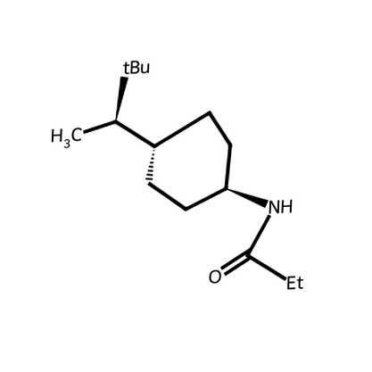 CCC(=O)N[C@H]1CC[C@H]([C@@H](C)C(C)(C)C)CC1